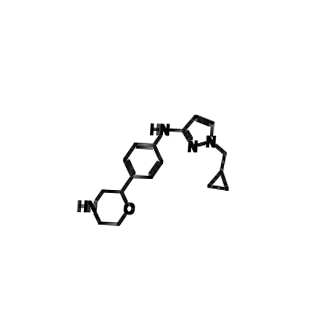 c1cc(C2CNCCO2)ccc1Nc1ccn(CC2CC2)n1